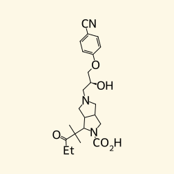 CCC(=O)C(C)(C)C1C2CN(C[C@H](O)COc3ccc(C#N)cc3)CC2CN1C(=O)O